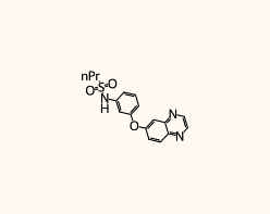 CCCS(=O)(=O)Nc1cccc(Oc2ccc3nccnc3c2)c1